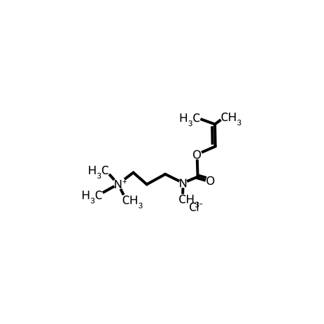 CC(C)=COC(=O)N(C)CCC[N+](C)(C)C.[Cl-]